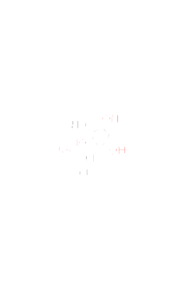 CC(C)CC=O.Cc1c(O)cc(O)cc1O